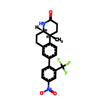 C[C@]12CCC(=O)N[C@@H]1CCc1cc(-c3ccc([N+](=O)[O-])cc3C(F)(F)F)ccc12